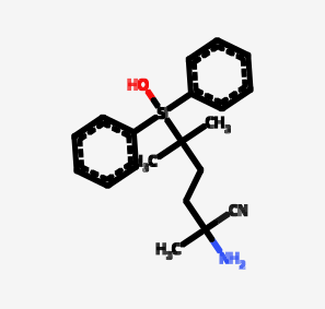 CC(N)(C#N)CCC(C)(C)[Si](O)(c1ccccc1)c1ccccc1